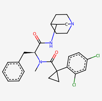 CN(C(=O)C1(c2ccc(Cl)cc2Cl)CC1)[C@@H](Cc1ccccc1)C(=O)NC1CN2CCC1CC2